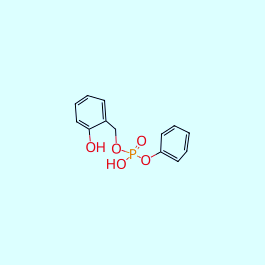 O=P(O)(OCc1ccccc1O)Oc1ccccc1